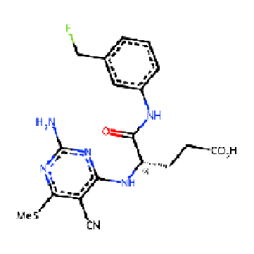 CSc1nc(N)nc(N[C@@H](CCC(=O)O)C(=O)Nc2cccc(CF)c2)c1C#N